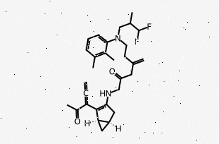 C=C=C(C(C)=O)C1=C(NCC(=O)CC(=C)CCN(CC(C)C(F)F)c2cccc(C)c2C)C[C@H]2C[C@@H]12